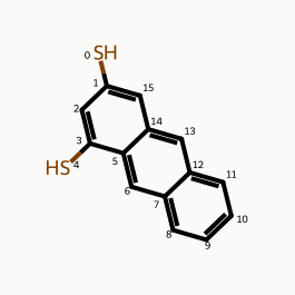 Sc1cc(S)c2cc3ccccc3cc2c1